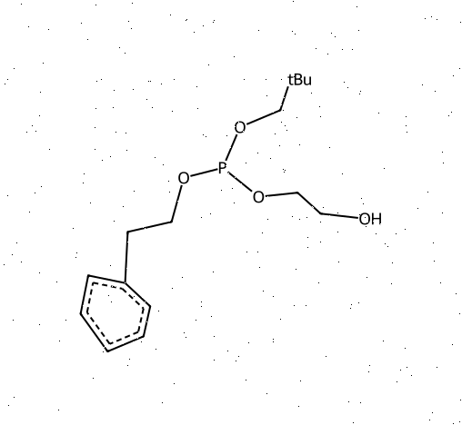 CC(C)(C)COP(OCCO)OCCc1ccccc1